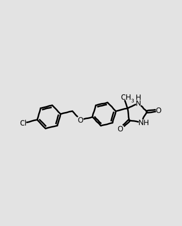 CC1(c2ccc(OCc3ccc(Cl)cc3)cc2)NC(=O)NC1=O